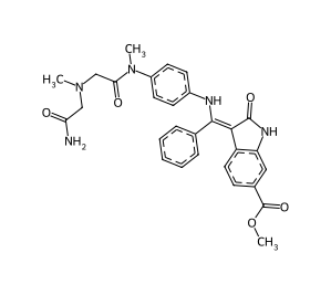 COC(=O)c1ccc2c(c1)NC(=O)/C2=C(\Nc1ccc(N(C)C(=O)CN(C)CC(N)=O)cc1)c1ccccc1